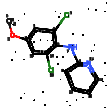 FC(F)(F)Oc1cc(Cl)c(Nc2ccccn2)c(Cl)c1